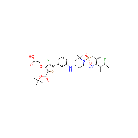 C=C(CS(=O)(=O)N1CC[C@H](Nc2cccc(-c3sc(C(=O)OC(C)(C)C)c(OCC(=O)O)c3Cl)c2)CC1(C)C)C(N)[C@H](C)[C@H](C)F